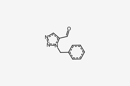 O=Cc1cnnn1Cc1ccccc1